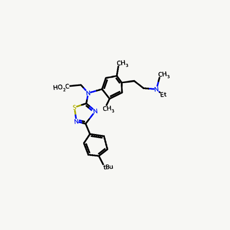 CCN(C)CCc1cc(C)c(N(CC(=O)O)c2nc(-c3ccc(C(C)(C)C)cc3)ns2)cc1C